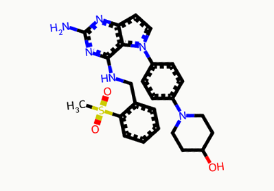 CS(=O)(=O)c1ccccc1CNc1nc(N)nc2ccn(-c3ccc(N4CCC(O)CC4)cc3)c12